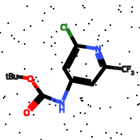 CC(C)(C)OC(=O)Nc1cc(Cl)nc(C(F)(F)F)c1